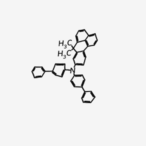 CC1(C)c2cc(N(c3ccc(-c4ccccc4)cc3)c3ccc(-c4ccccc4)cc3)ccc2-c2cccc3cccc1c23